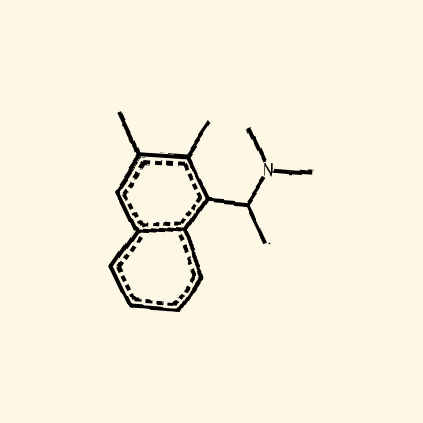 [CH2]C(c1c(C)c(C)cc2ccccc12)N(C)C